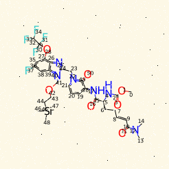 COC(=O)N[C@@H](CC/C=C/C(=O)N(C)C)C(=O)Nc1cccn(Cc2nc3c(OC(F)(F)C(F)F)cc(F)cc3n2COCC[Si](C)(C)C)c1=O